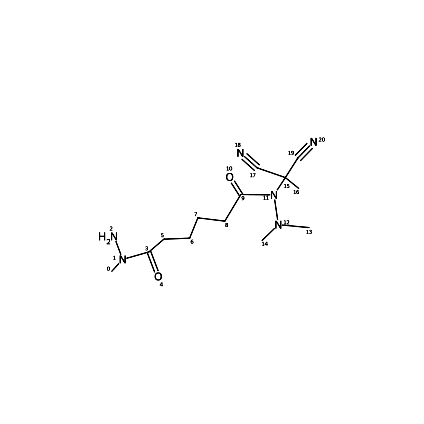 CN(N)C(=O)CCCCC(=O)N(N(C)C)C(C)(C#N)C#N